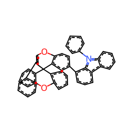 c1ccc(-c2cccc3c2C2(c4ccccc4Oc4ccccc42)c2cc(-c4cccc5c6ccccc6n(-c6ccccc6)c45)ccc2O3)cc1